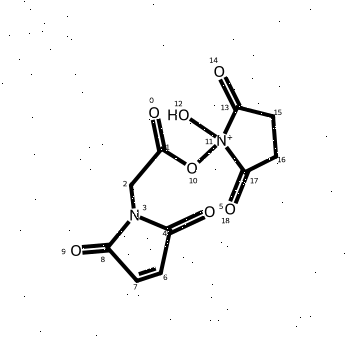 O=C(CN1C(=O)C=CC1=O)O[N+]1(O)C(=O)CCC1=O